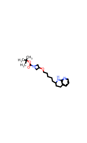 CC(C)(C)OC(=O)N1CC(OCCCCCC2CCc3cccnc3N2)C1